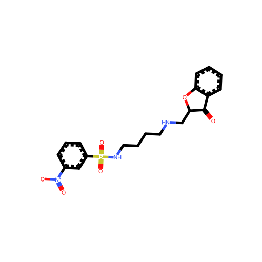 O=C1c2ccccc2OC1CNCCCCNS(=O)(=O)c1cccc([N+](=O)[O-])c1